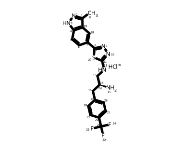 Cc1n[nH]c2ccc(-c3nnc(NC[C@@H](N)Cc4ccc(C(F)(F)F)cc4)s3)cc12.Cl